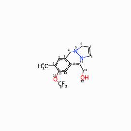 Cc1cc(CN2CC=CN2CCO)ccc1OC(F)(F)F